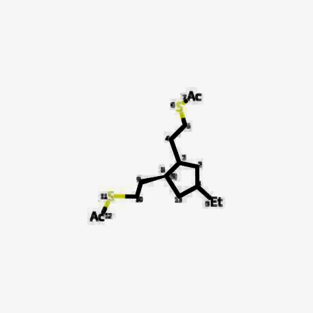 [CH2]CC1CC(CCSC(C)=O)[C@H](CCSC(C)=O)C1